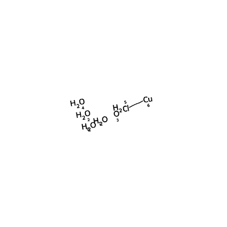 O.O.O.O.O.[Cl][Cu]